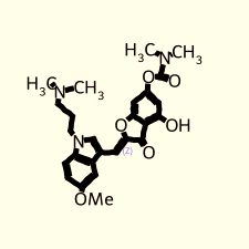 COc1ccc2c(c1)c(/C=C1\Oc3cc(OC(=O)N(C)C)cc(O)c3C1=O)cn2CCCN(C)C